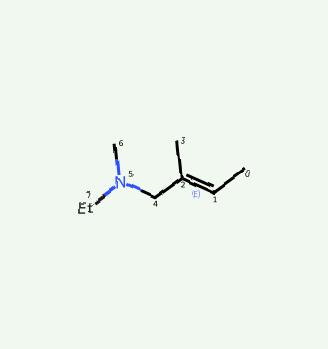 C/C=C(\C)CN(C)CC